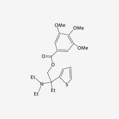 CCN(CC)C(CC)(COC(=O)c1cc(OC)c(OC)c(OC)c1)c1cccs1